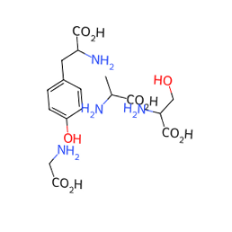 CC(N)C(=O)O.NC(CO)C(=O)O.NC(Cc1ccc(O)cc1)C(=O)O.NCC(=O)O